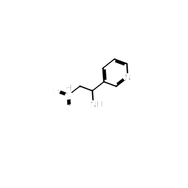 NC(C[SH](=O)=O)c1cc[c]nc1